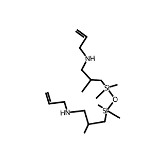 C=CCNCC(C)C[Si](C)(C)O[Si](C)(C)CC(C)CNCC=C